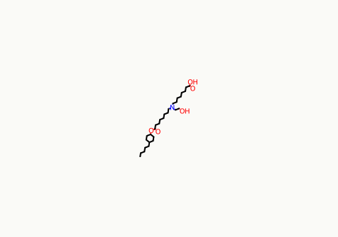 CCCCCC1CCC(OC(=O)CCCCCCCN(CCO)CCCCCCCC(=O)O)CC1